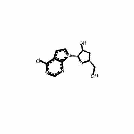 OC[C@@H]1CC(O)[C@H](n2ccc3c(Cl)ncnc32)O1